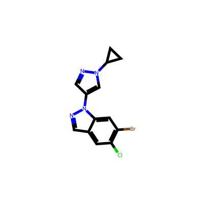 Clc1cc2cnn(-c3cnn(C4CC4)c3)c2cc1Br